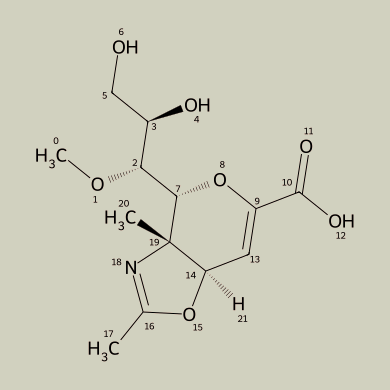 CO[C@H]([C@H](O)CO)[C@@H]1OC(C(=O)O)=C[C@H]2OC(C)=N[C@@]21C